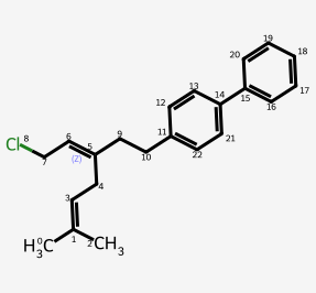 CC(C)=CC/C(=C\CCl)CCc1ccc(-c2ccccc2)cc1